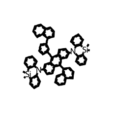 C[Si]1(C)c2ccccc2N(c2ccc3c(-c4cccc5ccccc45)c4cc(N5c6ccccc6[Si](C)(C)c6ccccc65)ccc4c(-c4cccc(-c5cccc6ccccc56)c4)c3c2)c2ccccc21